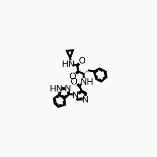 O=C(NC1CC1)C(=O)[C@H](Cc1ccccc1)NC(=O)c1cncn1-c1n[nH]c2ccccc12